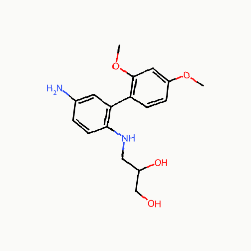 COc1ccc(-c2cc(N)ccc2NCC(O)CO)c(OC)c1